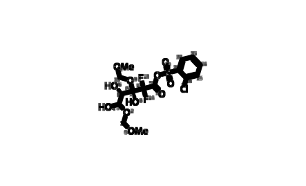 COCOC(O)[C@@H](O)[C@](O)(OCOC)C(F)(F)C(=O)OS(=O)(=O)c1ccccc1Cl